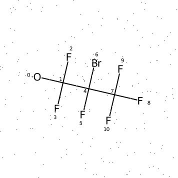 [O]C(F)(F)C(F)(Br)C(F)(F)F